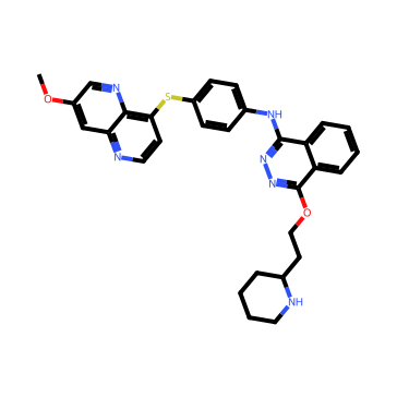 COc1cnc2c(Sc3ccc(Nc4nnc(OCCC5CCCCN5)c5ccccc45)cc3)ccnc2c1